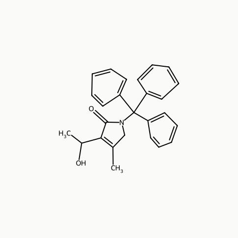 CC1=C(C(C)O)C(=O)N(C(c2ccccc2)(c2ccccc2)c2ccccc2)C1